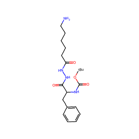 CC(C)(C)OC(=O)NC(Cc1ccccc1)C(=O)NNC(=O)CCCCCN